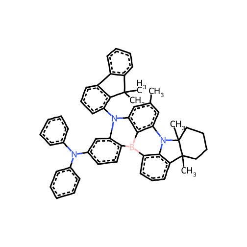 Cc1cc2c3c(c1)N1c4c(cccc4C4(C)CCCCC14C)B3c1ccc(N(c3ccccc3)c3ccccc3)cc1N2c1cccc2c1C(C)(C)c1ccccc1-2